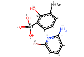 CC(=O)Nc1cccc([As](=O)(O)O)c1O.Nc1cccc(Br)n1